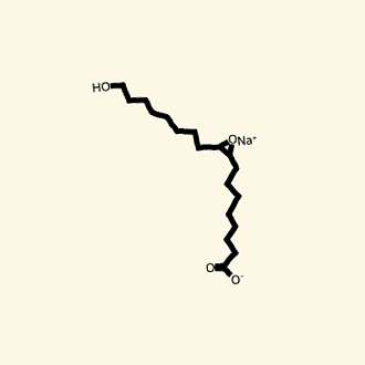 O=C([O-])CCCCCCCC1OC1CCCCCCCCO.[Na+]